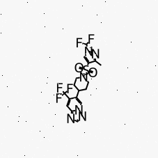 Cc1nn(C(F)F)cc1S(=O)(=O)N1CCC(c2cn3ncnc3cc2C(F)(F)F)CC1